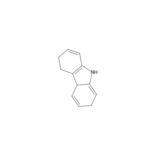 C1=CC2C(=CC1)NC1=C2CCC=C1